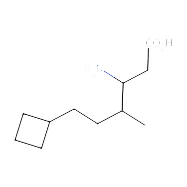 CC(CCC1CCC1)C(N)CC(=O)O